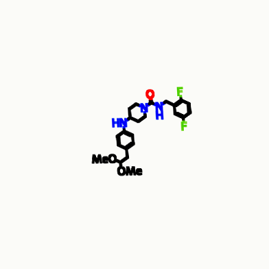 COC(Cc1ccc(NC2CCN(C(=O)NCc3cc(F)ccc3F)CC2)cc1)OC